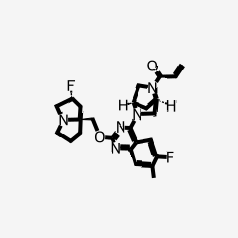 C=CC(=O)N1C[C@H]2C[C@@H]1CN2c1nc(OC[C@@]23CCCN2C[C@H](F)C3)nc2cc(C)c(F)cc12